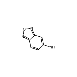 [NH]c1ccc2nonc2c1